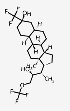 C[C@H]([C@H](O)COC(F)(F)F)[C@H]1CC[C@H]2[C@@H]3CC[C@@H]4C[C@@](O)(C(F)(F)F)CC[C@@H]4[C@H]3CC[C@]12C